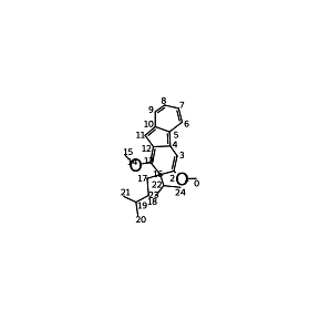 COC1=CC2=c3ccccc3=CC2=C(OC)C1(CCC(C)C)C(C)C